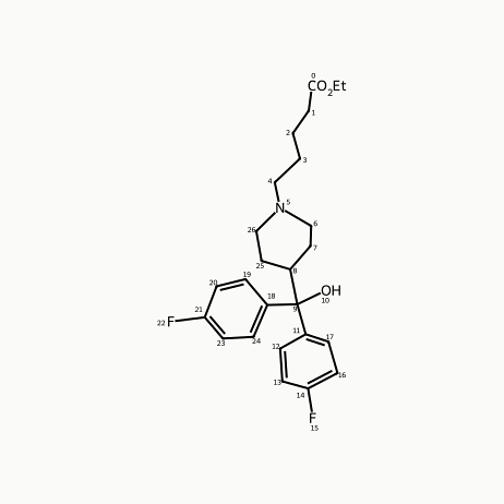 CCOC(=O)CCCCN1CCC(C(O)(c2ccc(F)cc2)c2ccc(F)cc2)CC1